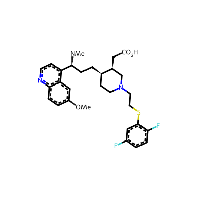 CN[C@@H](CC[C@@H]1CCN(CCSc2cc(F)ccc2F)C[C@@H]1CC(=O)O)c1ccnc2ccc(OC)cc12